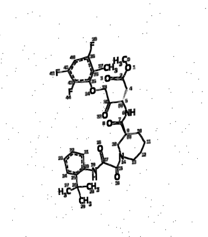 COC(=O)C[C@H](NC(=O)[C@H]1CCCCN(C(=O)C(=O)Nc2ccccc2C(C)(C)C)C1)C(=O)COc1c(C)c(F)cc(F)c1F